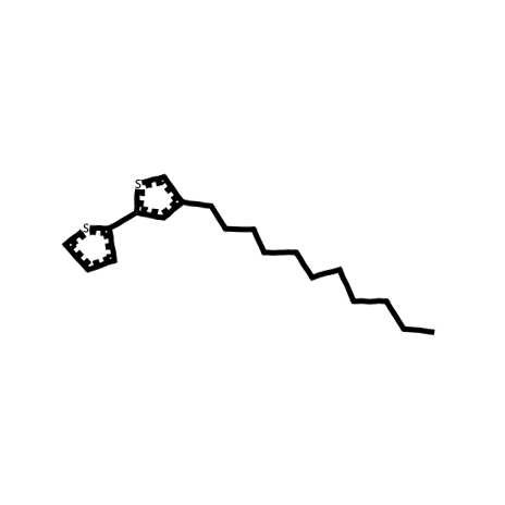 CCCCCCCCCCCc1csc(-c2cccs2)c1